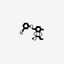 C/C=C(\Oc1cc(COc2cccc(C#N)c2)ccc1C)C(=O)OC